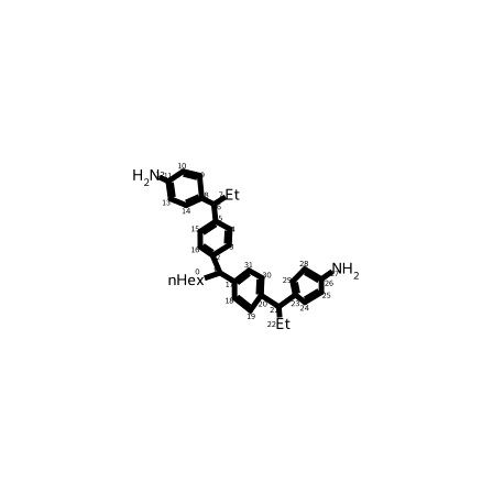 CCCCCCC(c1ccc(C(CC)c2ccc(N)cc2)cc1)c1ccc(C(CC)c2ccc(N)cc2)cc1